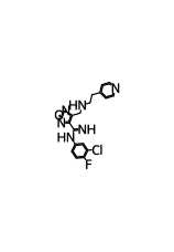 N=C(Nc1ccc(F)c(Cl)c1)c1nonc1CNCCc1ccncc1